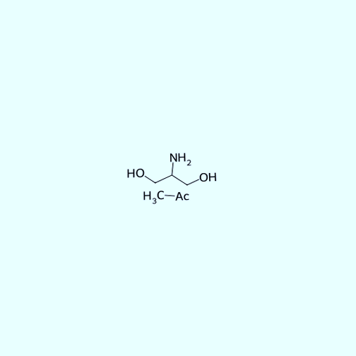 CC(C)=O.NC(CO)CO